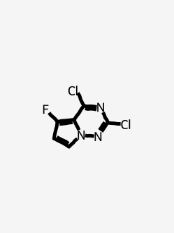 Fc1ccn2nc(Cl)nc(Cl)c12